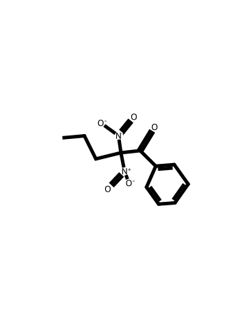 CCCC(C(=O)c1ccccc1)([N+](=O)[O-])[N+](=O)[O-]